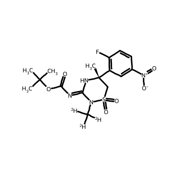 [2H]C([2H])([2H])N1/C(=N/C(=O)OC(C)(C)C)N[C@](C)(c2cc([N+](=O)[O-])ccc2F)CS1(=O)=O